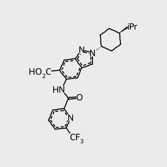 CC(C)[C@H]1CC[C@H](n2cc3cc(NC(=O)c4cccc(C(F)(F)F)n4)c(C(=O)O)cc3n2)CC1